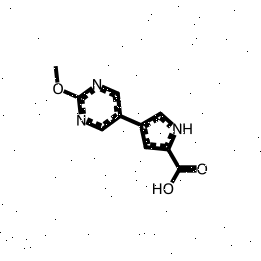 COc1ncc(-c2c[nH]c(C(=O)O)c2)cn1